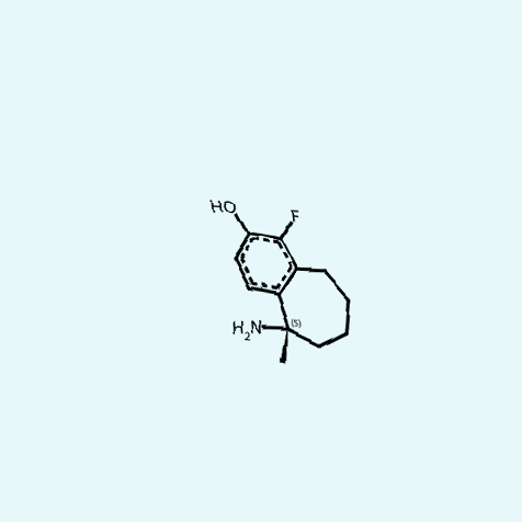 C[C@]1(N)CCCCc2c1ccc(O)c2F